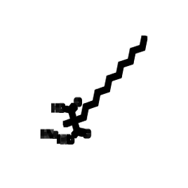 CCCCCCCCCCCCC(C)(C(=O)O)C(=O)O.[LiH].[NaH]